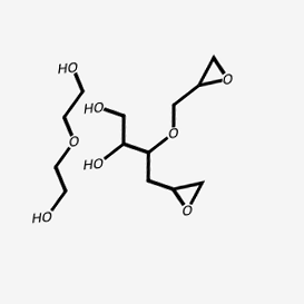 OCC(O)C(CC1CO1)OCC1CO1.OCCOCCO